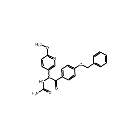 COc1ccc(N(NC(N)=O)C(=O)c2ccc(OCc3ccccc3)cc2)cn1